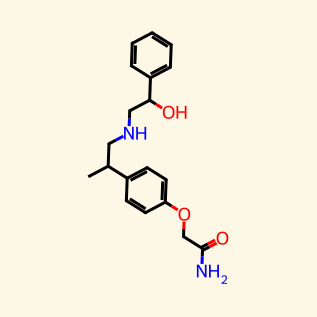 CC(CNCC(O)c1ccccc1)c1ccc(OCC(N)=O)cc1